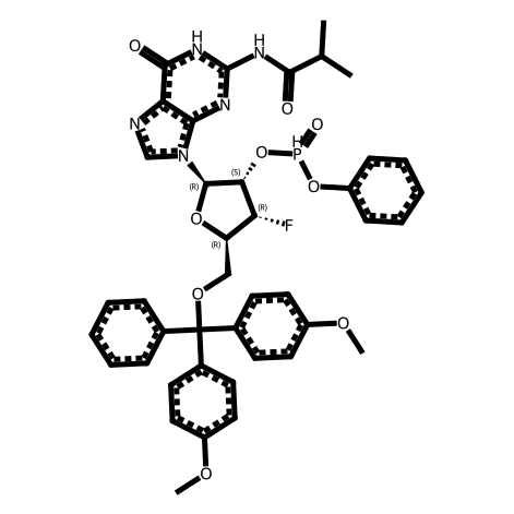 COc1ccc(C(OC[C@H]2O[C@@H](n3cnc4c(=O)[nH]c(NC(=O)C(C)C)nc43)[C@H](O[PH](=O)Oc3ccccc3)[C@@H]2F)(c2ccccc2)c2ccc(OC)cc2)cc1